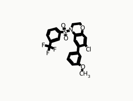 COc1cccc(-c2cc3c(cc2Cl)OCCN3S(=O)(=O)c2cccc(C(F)(F)F)c2)c1